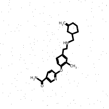 C=C1CCCC(CNCCc2ccc(Oc3ccc(C(N)=O)cn3)c(C)c2)C1